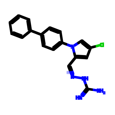 N=C(N)N/N=C\c1cc(Cl)cn1-c1ccc(-c2ccccc2)cc1